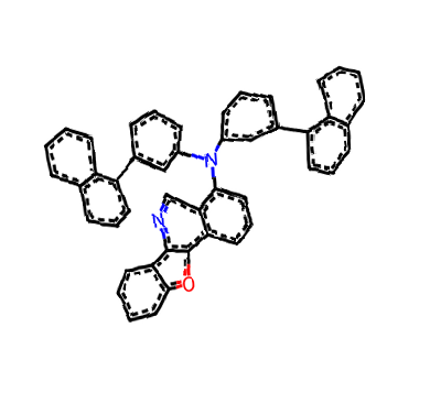 c1cc(-c2cccc3ccccc23)cc(N(c2cccc(-c3cccc4ccccc34)c2)c2cccc3c2cnc2c4ccccc4oc32)c1